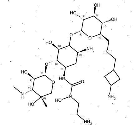 CN[C@@H]1[C@@H](O)[C@@H](O[C@H]2[C@H](NC(=O)N(O)CCN)C[C@H](N)C(O[C@H]3O[C@H](CNCC4CC(N)C4)[C@@H](O)[C@H](O)[C@H]3O)[C@@H]2O)OC[C@]1(C)O